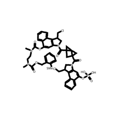 CSc1ccccc1COC(=O)N(C)CCN(C)C(=O)Oc1cc2c(c3ccccc13)C(CCl)CN2C(=O)C12CC3(C(=O)N4CC(CCl)c5c4cc(OP(=O)(O)O)c4ccccc54)CC13C2